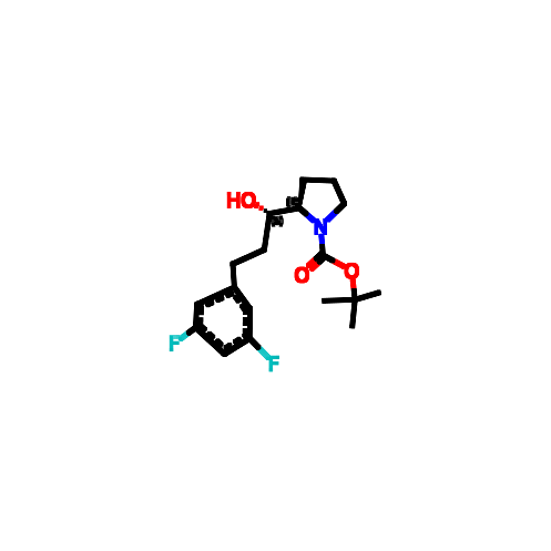 CC(C)(C)OC(=O)N1CCC[C@@H]1[C@@H](O)CCc1cc(F)cc(F)c1